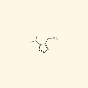 CC(C)n1ccnc1CN